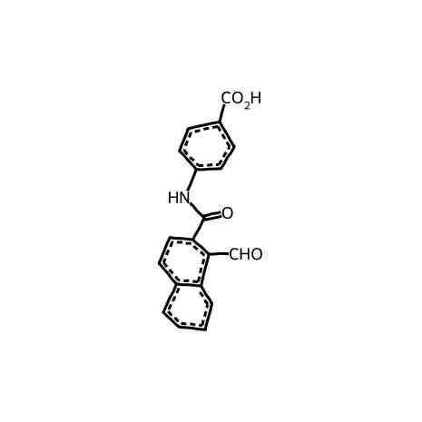 O=Cc1c(C(=O)Nc2ccc(C(=O)O)cc2)ccc2ccccc12